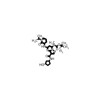 CC(C)n1cccc(Nc2cc(N(C)C(=O)OC(C)(C)C)n3ncc(C(=O)NC4CC[C@H](O)C4)c3n2)c1=O